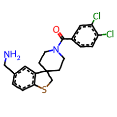 NCc1ccc2c(c1)C1(CCN(C(=O)c3ccc(Cl)c(Cl)c3)CC1)CS2